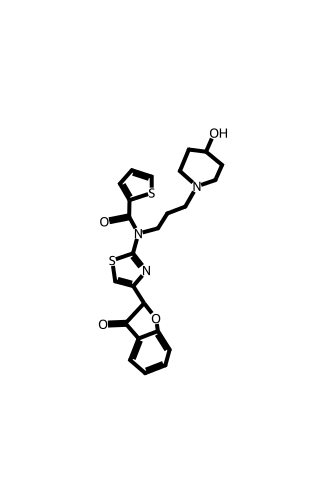 O=C1c2ccccc2OC1c1csc(N(CCCN2CCC(O)CC2)C(=O)c2cccs2)n1